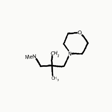 CNCC(C)(C)CN1CCOCC1